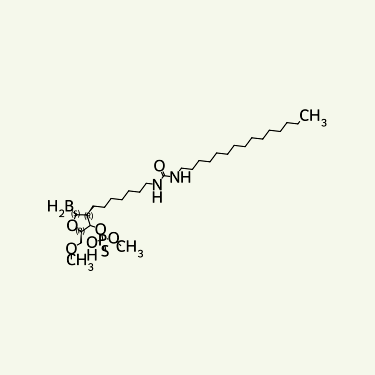 B[C@@H]1O[C@H](COC)C(OP(O)(=S)OC)[C@@H]1CCCCCCCNC(=O)NCCCCCCCCCCCCCCC